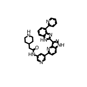 O=C(CC1CCNCC1)Nc1cncc(-c2ccc3[nH]nc(-c4nc5c(-c6ccccn6)cccc5[nH]4)c3n2)c1